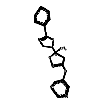 C[C@@]1(C2CN=C(c3ccccc3)S2)CC(Oc2cncnc2)=NO1